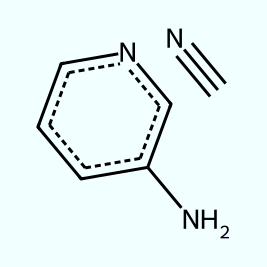 C#N.Nc1cccnc1